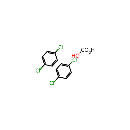 Clc1ccc(Cl)cc1.Clc1ccc(Cl)cc1.O=C(O)O